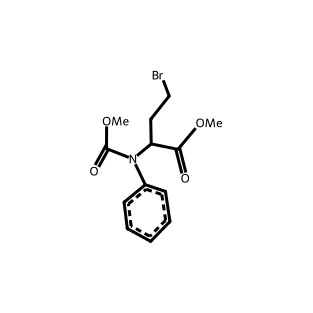 COC(=O)C(CCBr)N(C(=O)OC)c1ccccc1